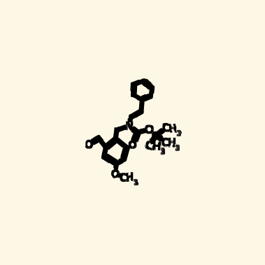 COc1ccc(CN(CCc2ccccc2)C(=O)OC(C)(C)C)c(C=O)c1